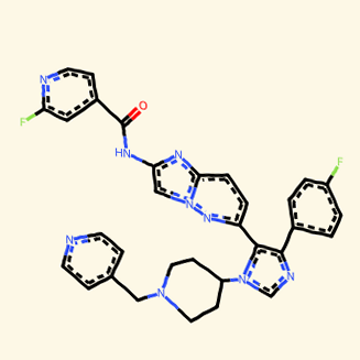 O=C(Nc1cn2nc(-c3c(-c4ccc(F)cc4)ncn3C3CCN(Cc4ccncc4)CC3)ccc2n1)c1ccnc(F)c1